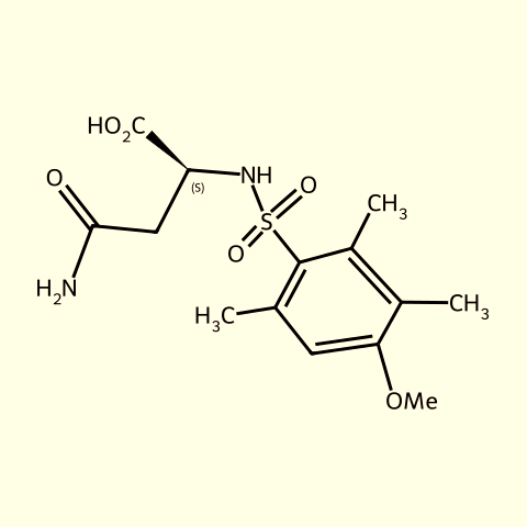 COc1cc(C)c(S(=O)(=O)N[C@@H](CC(N)=O)C(=O)O)c(C)c1C